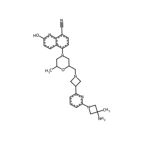 CC1CN(c2ccc(C#N)c3nc(O)ccc23)CC(CN2CC(c3cccc(N4CC(C)(N)C4)n3)C2)O1